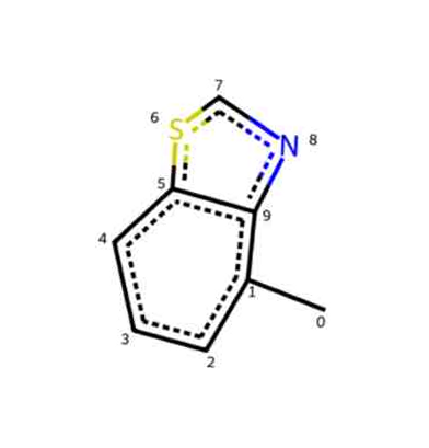 Cc1cccc2scnc12